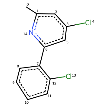 Cc1cc(Cl)cc(-c2ccccc2Cl)n1